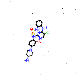 COc1cc(N2CCC(N(C)C)CC2)ccc1Nc1ncc(Cl)c(Nc2ccccc2N[SH](=O)=O)n1